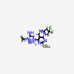 CC(C)(C)c1nc(NCC(=N)N(N)C2CC2)c(C=N)c(N2CCC(F)(F)C2)n1